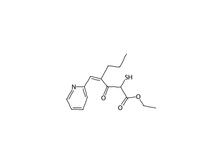 CCCC(=Cc1ccccn1)C(=O)C(S)C(=O)OCC